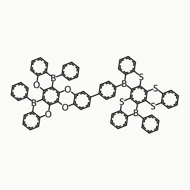 c1ccc(B2c3ccccc3Oc3c2c2c(c4c3B(c3ccccc3)c3ccccc3O4)Oc3ccc(-c4ccc(B5c6ccccc6Sc6c7c(c8c(c65)Sc5ccccc5B8c5ccccc5)Sc5ccccc5S7)cc4)cc3O2)cc1